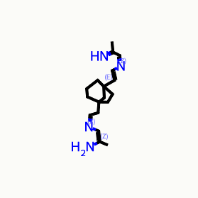 CC(=N)/C=N\C=C\C12CCCC(C/C=N\C=C(\C)N)(CC1)C2